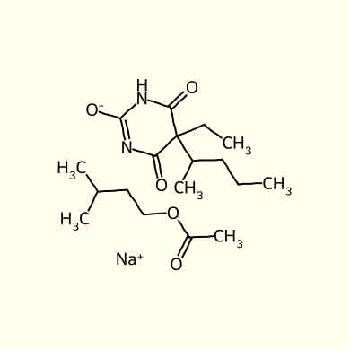 CC(=O)OCCC(C)C.CCCC(C)C1(CC)C(=O)N=C([O-])NC1=O.[Na+]